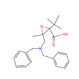 CC(C)(C)C1(C(=O)O)OC1(C)CN(Cc1ccccc1)Cc1ccccc1